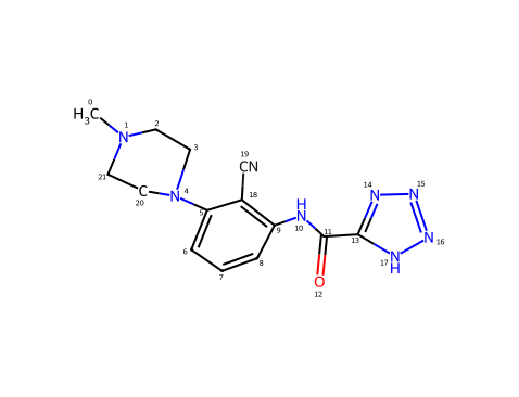 CN1CCN(c2cccc(NC(=O)c3nnn[nH]3)c2C#N)CC1